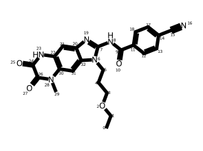 CCOCCCn1c(NC(=O)c2ccc(C#N)cc2)nc2cc3[nH]c(=O)c(=O)n(C)c3cc21